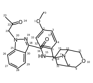 COc1ccc(CN2C3COCC2CC(NC(=O)c2nn(CC(C)=O)c4ccccc24)C3)cc1